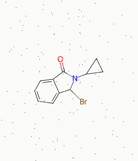 O=C1c2ccccc2C(Br)N1C1CC1